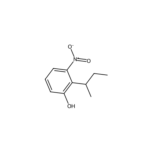 CCC(C)c1c(O)cccc1[N+](=O)[O-]